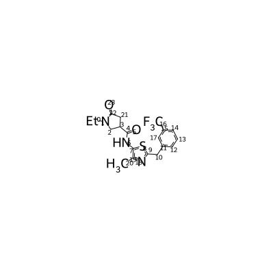 CCN1CC(C(=O)Nc2sc(Cc3cccc(C(F)(F)F)c3)nc2C)CC1=O